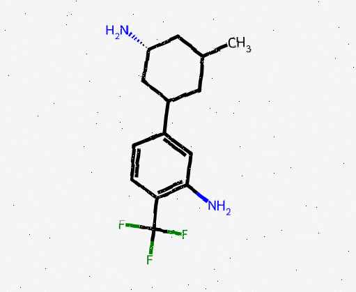 CC1CC(c2ccc(C(F)(F)F)c(N)c2)C[C@H](N)C1